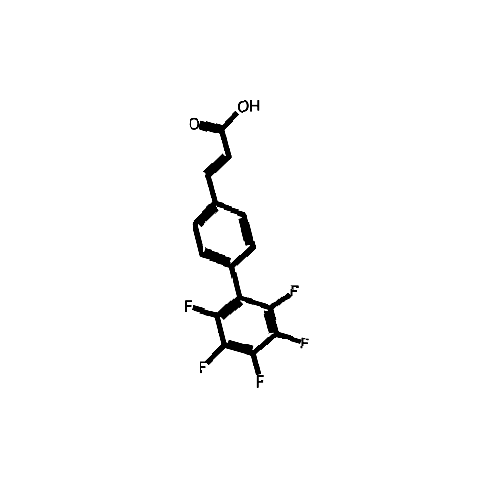 O=C(O)C=Cc1ccc(-c2c(F)c(F)c(F)c(F)c2F)cc1